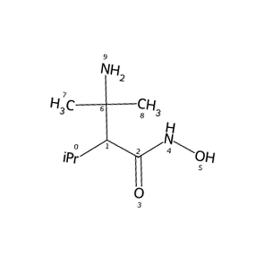 CC(C)C(C(=O)NO)C(C)(C)N